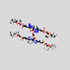 CC(C)(C)OCCOC(=O)CCc1cn(C(C)(C(=O)OCCOC(=O)C(C)(n2cc(CCC(=O)OCCOC(C)(C)C)nn2)n2cc(CCC(=O)OCCOC(C)(C)C)nn2)n2cc(CCC(=O)OCCOC(C)(C)C)nn2)nn1